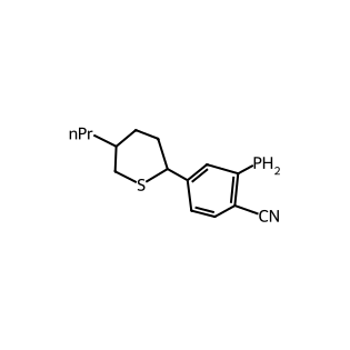 CCCC1CCC(c2ccc(C#N)c(P)c2)SC1